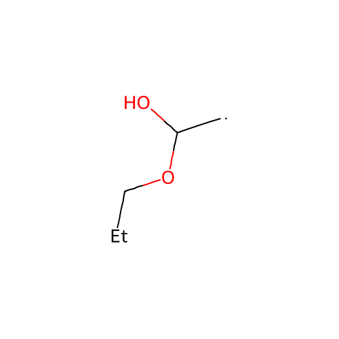 [CH2]C(O)OCCC